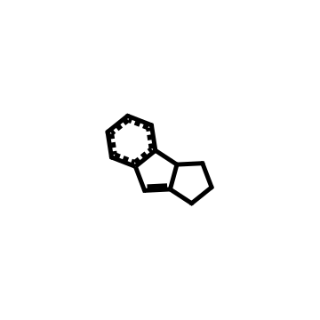 C1=C2CCCC2c2ccccc21